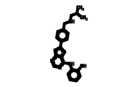 CC(C)CNCc1ccc(-c2cc3ncnc(Nc4ccccc4O)c3s2)cc1